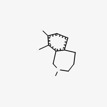 CC(=O)N1CCCc2ccc(Br)c([N+](=O)[O-])c2C1